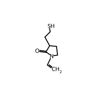 C=CN1CCC(CCS)C1=O